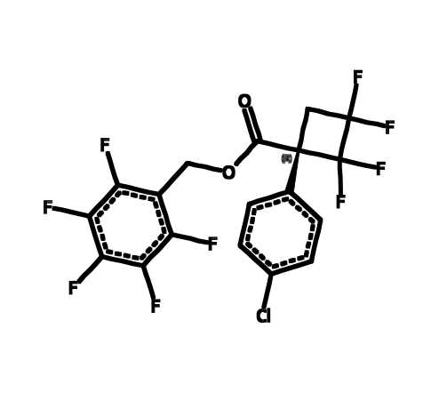 O=C(OCc1c(F)c(F)c(F)c(F)c1F)[C@]1(c2ccc(Cl)cc2)CC(F)(F)C1(F)F